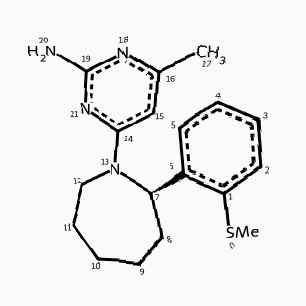 CSc1ccccc1[C@H]1CCCCCN1c1cc(C)nc(N)n1